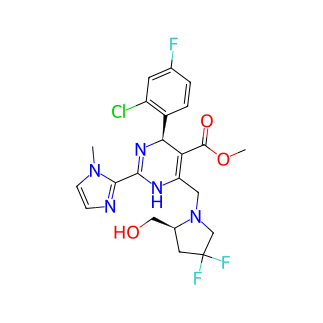 COC(=O)C1=C(CN2CC(F)(F)C[C@H]2CO)NC(c2nccn2C)=N[C@H]1c1ccc(F)cc1Cl